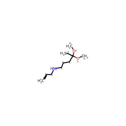 C=CCNCCCC([SiH3])(OC)OC